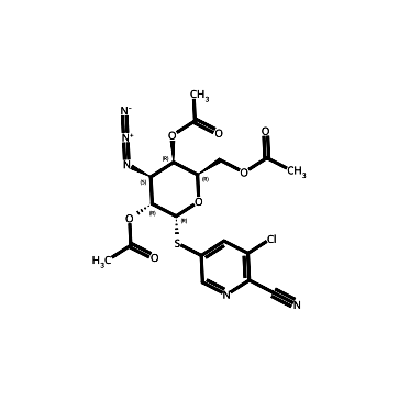 CC(=O)OC[C@H]1O[C@H](Sc2cnc(C#N)c(Cl)c2)[C@H](OC(C)=O)[C@@H](N=[N+]=[N-])[C@H]1OC(C)=O